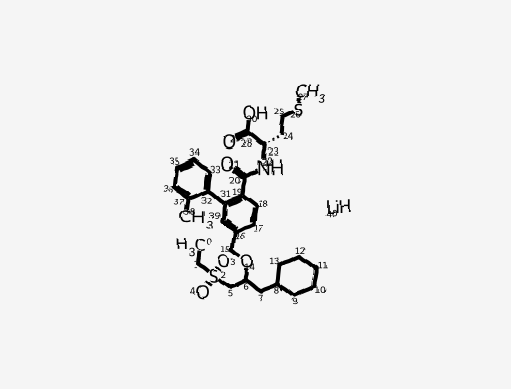 CCS(=O)(=O)CC(CC1CCCCC1)OCc1ccc(C(=O)N[C@@H](CCSC)C(=O)O)c(-c2ccccc2C)c1.[LiH]